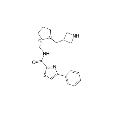 O=C(NC[C@@H]1CCCN1CC1CNC1)c1nc(-c2ccccc2)cs1